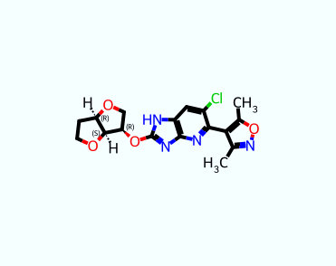 Cc1noc(C)c1-c1nc2nc(O[C@@H]3CO[C@@H]4CCO[C@@H]43)[nH]c2cc1Cl